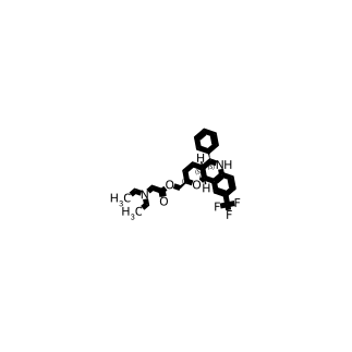 CCN(CC)CC(=O)OC[C@H]1CC[C@@H]2[C@H](O1)c1cc(C(F)(F)F)ccc1N[C@H]2C1C=CC=CC1